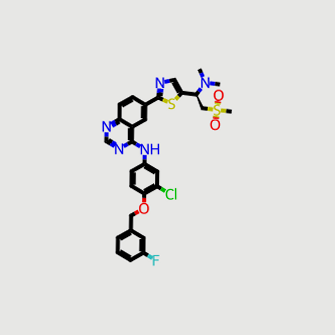 CN(C)[C@@H](CS(C)(=O)=O)c1cnc(-c2ccc3ncnc(Nc4ccc(OCc5cccc(F)c5)c(Cl)c4)c3c2)s1